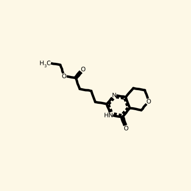 CCOC(=O)CCCc1nc2c(c(=O)[nH]1)COCC2